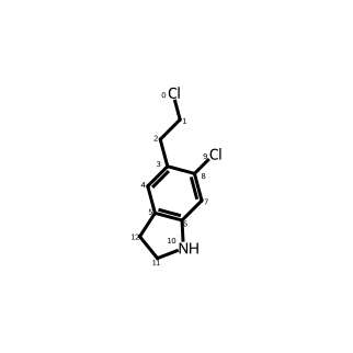 ClCCc1cc2c(cc1Cl)NCC2